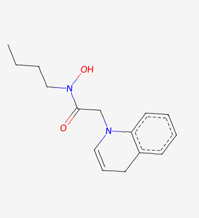 CCCCN(O)C(=O)CN1C=CCc2ccccc21